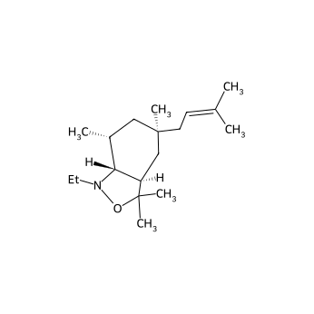 CCN1OC(C)(C)[C@@H]2C[C@](C)(CC=C(C)C)C[C@@H](C)[C@H]21